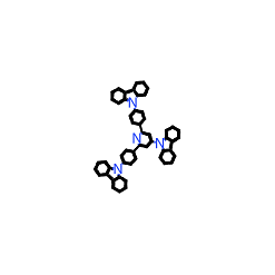 c1ccc2c(c1)c1ccccc1n2-c1ccc(-c2cc(-n3c4ccccc4c4ccccc43)cc(-c3ccc(-n4c5ccccc5c5ccccc54)cc3)n2)cc1